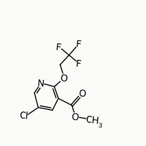 COC(=O)c1cc(Cl)cnc1OCC(F)(F)F